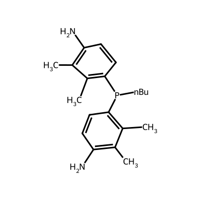 CCCCP(c1ccc(N)c(C)c1C)c1ccc(N)c(C)c1C